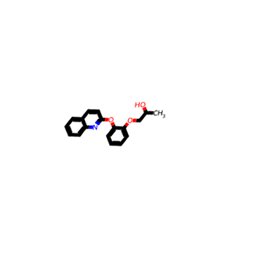 CC(O)COc1ccccc1Oc1ccc2ccccc2n1